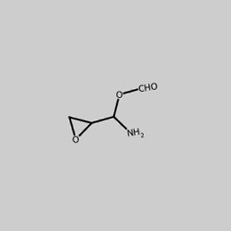 NC(OC=O)C1CO1